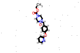 CCOC(=O)N1CC[N+]([O-])(Cc2ccc(Oc3ccccn3)cc2)CC1